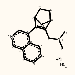 CN(C)CC1=C(c2cncc3ccccc23)C2CCC1C2.Cl.Cl